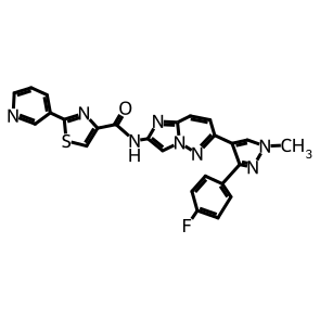 Cn1cc(-c2ccc3nc(NC(=O)c4csc(-c5cccnc5)n4)cn3n2)c(-c2ccc(F)cc2)n1